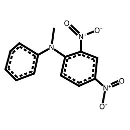 CN(c1ccccc1)c1ccc([N+](=O)[O-])cc1[N+](=O)[O-]